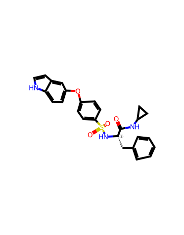 O=C(NC1CC1)[C@H](Cc1ccccc1)NS(=O)(=O)c1ccc(Oc2ccc3[nH]ccc3c2)cc1